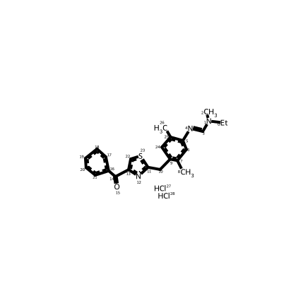 CCN(C)C=Nc1cc(C)c(Cc2nc(C(=O)c3ccccc3)cs2)cc1C.Cl.Cl